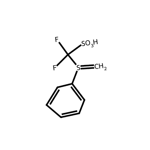 C=S(c1ccccc1)C(F)(F)S(=O)(=O)O